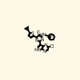 Fc1c(NC2CC3CCC(CC3)C2)nc(-c2c[nH]c3ncc(Cl)nc23)nc1-c1ccc(C2CC2)s1